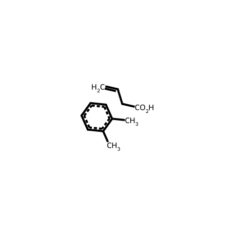 C=CCC(=O)O.Cc1ccccc1C